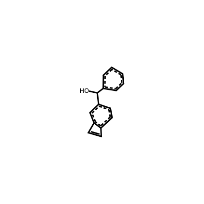 OC(c1ccccc1)c1ccc2c(c1)C=C2